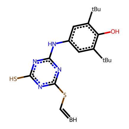 B=CSc1nc(S)nc(Nc2cc(C(C)(C)C)c(O)c(C(C)(C)C)c2)n1